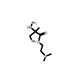 BNC(C)(CC(C)(C)C)C(=O)OCCN(C)C